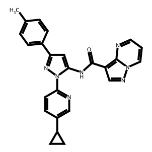 Cc1ccc(-c2cc(NC(=O)c3cnn4cccnc34)n(-c3ccc(C4CC4)cn3)n2)cc1